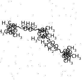 C[SiH]1O[SiH](C)O[SiH](CC[SiH2]O[SiH2]O[SiH2]CC[SiH]2O[SiH](C)O[Si](C)(CC[SiH2]O[SiH2]O[SiH2]CC[SiH]3O[SiH](C)O[SiH](C)O[SiH](C)O3)O[SiH](C)O2)O[SiH](C)O1